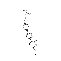 O=C(O)CCCN1CCN(c2ccc(C3CCC(=O)NC3=O)cc2)CC1